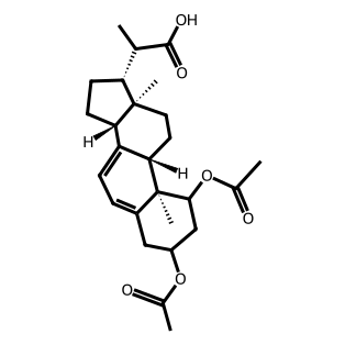 CC(=O)OC1CC2=CC=C3[C@@H]4CC[C@H](C(C)C(=O)O)[C@@]4(C)CC[C@@H]3[C@@]2(C)C(OC(C)=O)C1